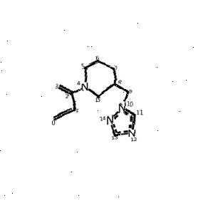 C=CC(=C)N1CCCC(Cn2cncn2)C1